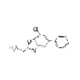 NCc1nc2cc(-c3cc[c]cc3)cc(Cl)c2o1